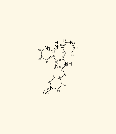 CC(=O)N1CCC(Cc2nc3c([nH]2)-c2ccncc2Nc2ncccc2-3)CC1